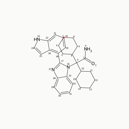 NC(=O)C(C1CCCCC1)(C1CCCCC1)n1c(-c2cccc3[nH]ccc23)nc2ccccc21